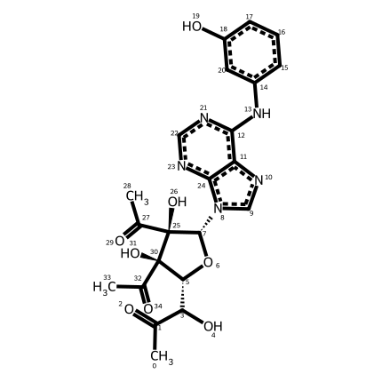 CC(=O)C(O)[C@H]1O[C@@H](n2cnc3c(Nc4cccc(O)c4)ncnc32)[C@@](O)(C(C)=O)[C@@]1(O)C(C)=O